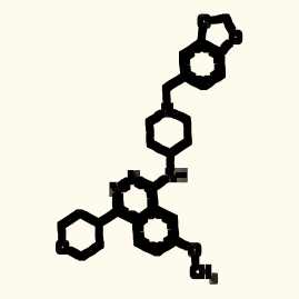 COc1ccc2c(C3CCOCC3)nnc(NC3CCN(Cc4ccc5c(c4)OCO5)CC3)c2c1